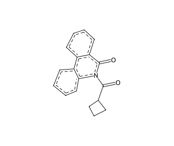 O=C(C1CCC1)n1c(=O)c2ccccc2c2ccccc21